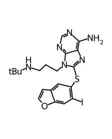 CC(C)(C)NCCCn1c(Sc2cc3ccoc3cc2I)nc2c(N)ncnc21